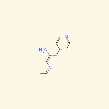 C/C=N\C=C(\N)Cc1ccncc1